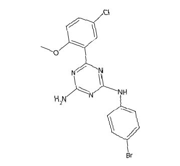 COc1ccc(Cl)cc1-c1nc(N)nc(Nc2ccc(Br)cc2)n1